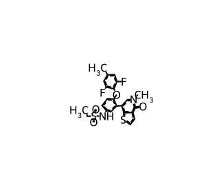 CCS(=O)(=O)Nc1ccc(Oc2c(F)cc(C)cc2F)c(-c2cn(C)c(=O)c3ccsc23)c1